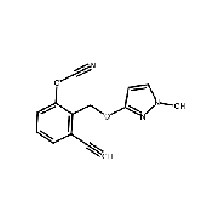 C#Cc1cccc(OC#N)c1COc1ccn(O)n1